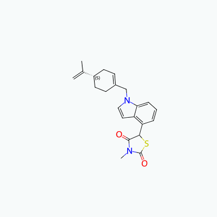 C=C(C)[C@@H]1CC=C(Cn2ccc3c(C4SC(=O)N(C)C4=O)cccc32)CC1